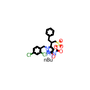 CCCCOc1cc(C(Cc2ccccc2)CS(=O)(=O)OC(N)=O)n(Cc2ccc(Cl)cc2Cl)n1